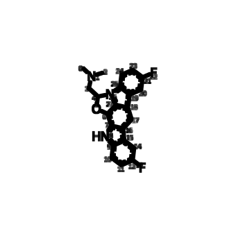 CN(C)CC1Oc2c3[nH]c4ccc(F)cc4c3cc3c4cc(F)ccc4n1c23